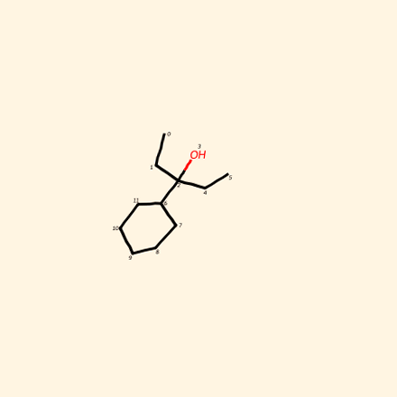 CCC(O)(CC)C1CCCCC1